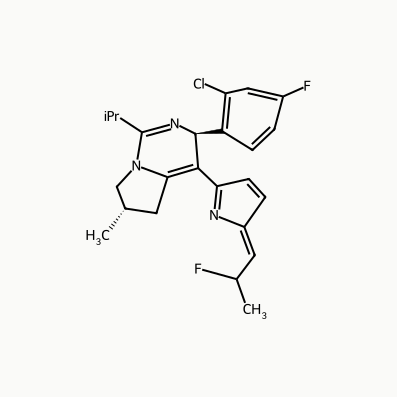 CC(F)/C=C1/C=CC(C2=C3C[C@H](C)CN3C(C(C)C)=N[C@H]2c2ccc(F)cc2Cl)=N1